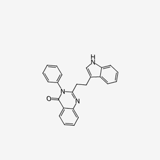 O=c1c2ccccc2nc(CCc2c[nH]c3ccccc23)n1-c1ccccc1